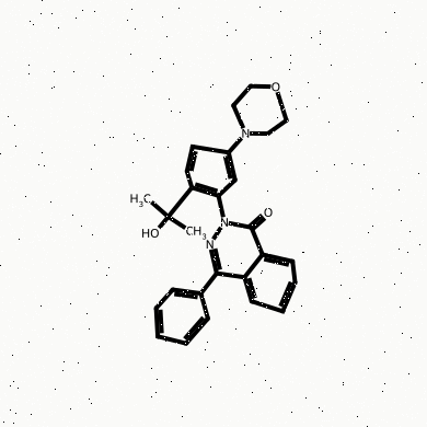 CC(C)(O)c1ccc(N2CCOCC2)cc1-n1nc(-c2ccccc2)c2ccccc2c1=O